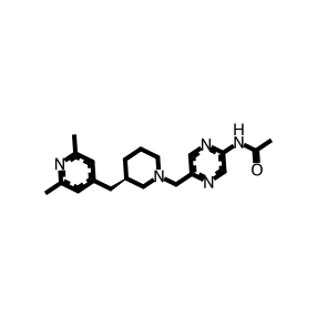 CC(=O)Nc1cnc(CN2CCC[C@H](Cc3cc(C)nc(C)c3)C2)cn1